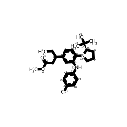 CCC(CC(=O)OC)c1ccc(N2CCC[C@@H]2C(C)(C)O)c(Nc2ccc(Cl)cc2)c1